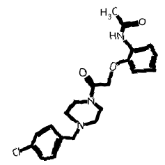 CC(=O)Nc1ccccc1OCC(=O)N1CCN(Cc2ccc(Cl)cc2)CC1